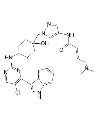 CN(C)CC=CC(=O)Nc1cnn(CC2(O)CCC(Nc3ncc(Cl)c(-c4c[nH]c5ccccc45)n3)CC2)c1